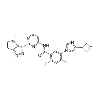 Cc1cc(F)c(C(=O)Nc2cccc(-c3nnc4n3[C@@H](C)CC4)n2)cc1-n1cnc(C2COC2)c1